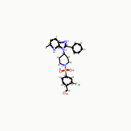 Cc1ccc2nc(-c3ccccc3)n(C3CCN(S(=O)(=O)c4ccc(C=O)c(F)c4)CC3)c2n1